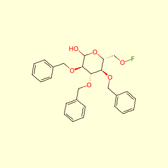 OC1O[C@H](COF)[C@@H](OCc2ccccc2)[C@H](OCc2ccccc2)[C@H]1OCc1ccccc1